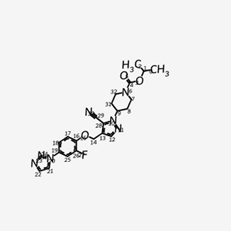 CC(C)OC(=O)N1CCC(n2ncc(COc3ccc(-n4ccnn4)cc3F)c2C#N)CC1